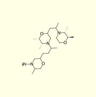 CC(C)N1CC(CCC(C)N2CC(CC(C)N3CCO[C@H](C)[C@H]3C)O[C@@H](C)[C@H]2C)OCC1C